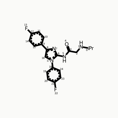 CC(C)NCC(=O)Nc1nc(-c2ccc(F)cc2)cn1-c1ccc(F)cc1